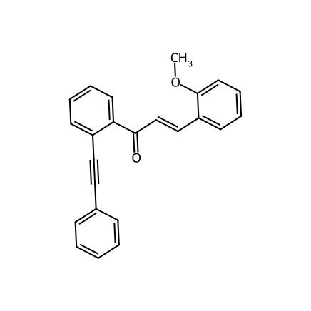 COc1ccccc1/C=C/C(=O)c1ccccc1C#Cc1ccccc1